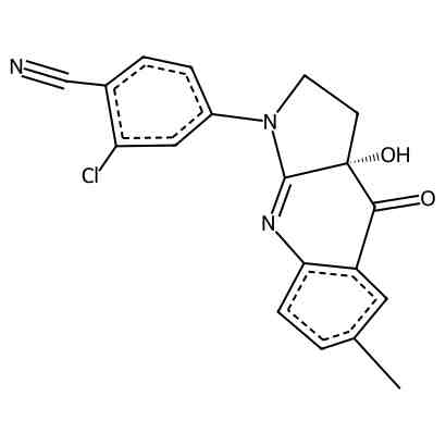 Cc1ccc2c(c1)C(=O)[C@]1(O)CCN(c3ccc(C#N)c(Cl)c3)C1=N2